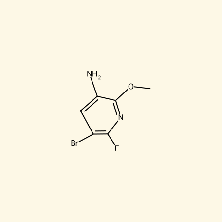 COc1nc(F)c(Br)cc1N